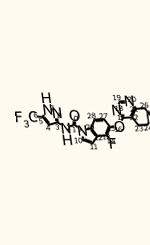 O=C(Nc1cc(C(F)(F)F)[nH]n1)n1ccc2c(F)c(Oc3ncnc4c3CCNC4)ccc21